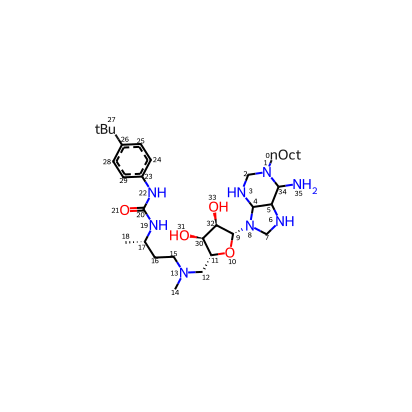 CCCCCCCCN1CNC2C(NCN2[C@@H]2O[C@H](CN(C)CC[C@H](C)NC(=O)Nc3ccc(C(C)(C)C)cc3)[C@@H](O)[C@H]2O)C1N